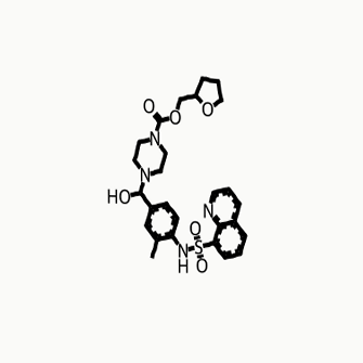 Cc1cc(C(O)N2CCN(C(=O)OCC3CCCO3)CC2)ccc1NS(=O)(=O)c1cccc2cccnc12